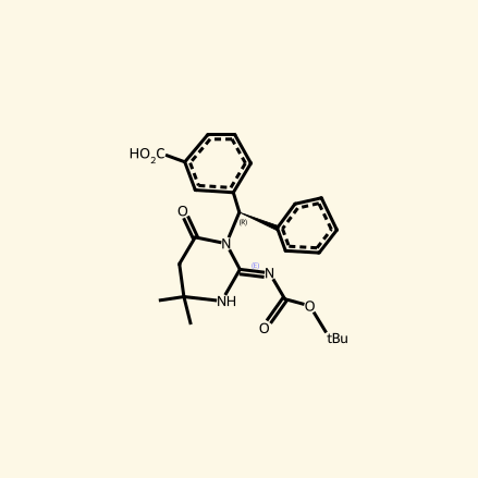 CC1(C)CC(=O)N([C@H](c2ccccc2)c2cccc(C(=O)O)c2)/C(=N/C(=O)OC(C)(C)C)N1